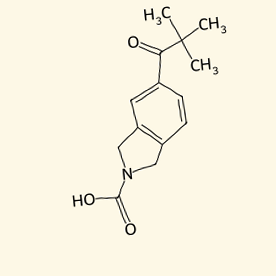 CC(C)(C)C(=O)c1ccc2c(c1)CN(C(=O)O)C2